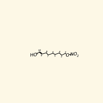 O=[N+]([O-])OCCCCCCCC=CO